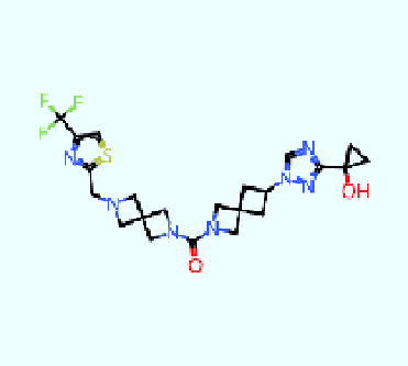 O=C(N1CC2(CC(n3cnc(C4(O)CC4)n3)C2)C1)N1CC2(CN(Cc3nc(C(F)(F)F)cs3)C2)C1